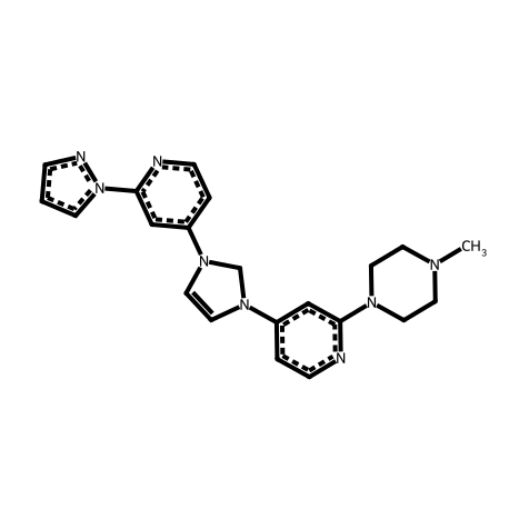 CN1CCN(c2cc(N3C=CN(c4ccnc(-n5cccn5)c4)C3)ccn2)CC1